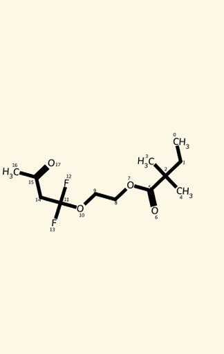 CCC(C)(C)C(=O)OCCOC(F)(F)CC(C)=O